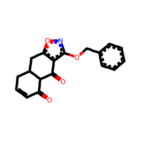 O=C1C=CCC2Cc3onc(OCc4ccccc4)c3C(=O)C12